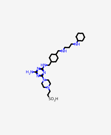 Nc1nc(NCC2CCC(CNCCCNC3CCCCC3)CC2)nc(N2CCN(CCS(=O)(=O)O)CC2)n1